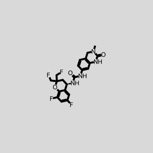 CN1Cc2ccc(NC(=O)N[C@@H]3CC(CF)(CF)Oc4c(F)cc(F)cc43)cc2NC1=O